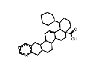 O=C(O)C12CCCC(N3CCCCC3)C1C1=CCC3C4Cc5cncnc5CC4CCC3C1CC2